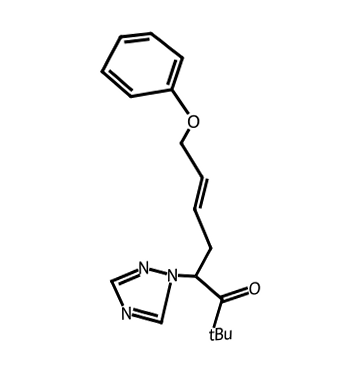 CC(C)(C)C(=O)C(CC=CCOc1ccccc1)n1cncn1